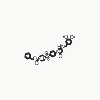 COc1ccc(CN[C@@H]2CC(=O)N(c3ccc(S(=O)(=O)N4CCN(C(=O)OCc5ccccc5)CC4)cc3)C2)cc1OC